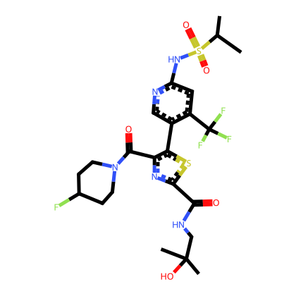 CC(C)S(=O)(=O)Nc1cc(C(F)(F)F)c(-c2sc(C(=O)NCC(C)(C)O)nc2C(=O)N2CCC(F)CC2)cn1